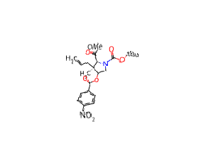 C=CC[C@]1(C)C(OC(=O)c2ccc([N+](=O)[O-])cc2)CN(C(=O)OC(C)(C)C)[C@@H]1C(=O)OC